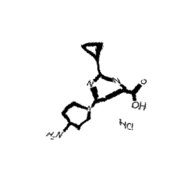 Cl.NC1CCN(c2cc(C(=O)O)nc(C3CC3)n2)CC1